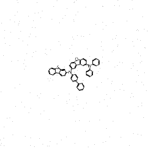 c1ccc(-c2ccc(N(c3ccc4c(c3)sc3ccccc34)c3ccc4oc5ccc(N(c6ccccc6)c6ccccc6)cc5c4c3)cc2)cc1